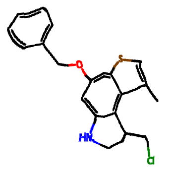 Cc1csc2c(OCc3ccccc3)cc3c(c12)C(CCl)CN3